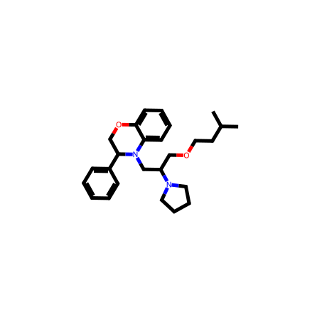 CC(C)CCOCC(CN1c2ccccc2OCC1c1ccccc1)N1CCCC1